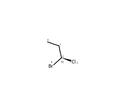 CC[C@@H](Cl)Br